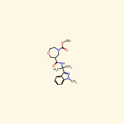 Cn1nc(C(C)(C)NC(=O)C2COCCN(C(=O)OC(C)(C)C)C2)c2ccccc21